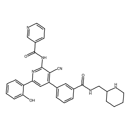 N#Cc1c(-c2cccc(C(=O)NCC3CCCCN3)c2)cc(-c2ccccc2O)nc1NC(=O)c1cccnc1